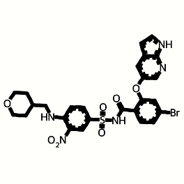 O=C(NS(=O)(=O)c1ccc(NCC2CCOCC2)c([N+](=O)[O-])c1)c1ccc(Br)cc1Oc1cnc2[nH]ccc2c1